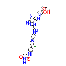 CCC1(C(=O)O)CCN(c2ccc(-c3nc(-c4cnn([C@H]5CC[C@H](N6CCC(c7ccc(N[C@@H]8CCC(=O)NC8=O)cc7F)CC6)CC5)c4)cn4ncc(C#N)c34)cn2)CC1